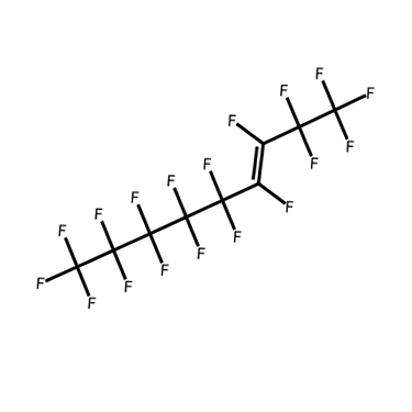 FC(=C(F)C(F)(F)C(F)(F)C(F)(F)C(F)(F)C(F)(F)F)C(F)(F)C(F)(F)F